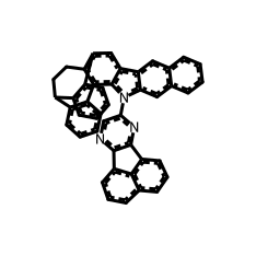 c1ccc2c(c1)-c1cc3c4cc5ccccc5cc4n(-c4cnc5c(n4)-c4cccc6cccc-5c46)c3c3c1CCC2c1ccccc1-3